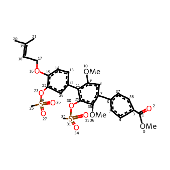 COC(=O)c1ccc(-c2cc(OC)c(-c3ccc(OCC=C(C)C)c(OS(C)(=O)=O)c3)c(OS(C)(=O)=O)c2OC)cc1